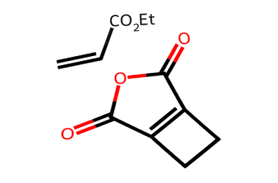 C=CC(=O)OCC.O=C1OC(=O)C2=C1CC2